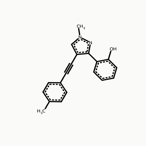 Cc1ccc(C#Cc2cn(C)nc2-c2ccccc2O)cc1